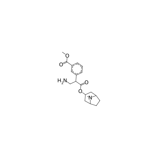 COC(=O)c1cccc(C(CN)C(=O)OC2CC3CCC(C2)N3C)c1